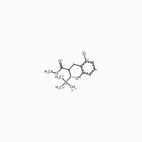 COC(=O)C(Cc1c(Cl)cccc1Cl)C[N+](C)(C)C